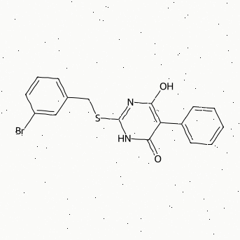 O=c1[nH]c(SCc2cccc(Br)c2)nc(O)c1-c1ccccc1